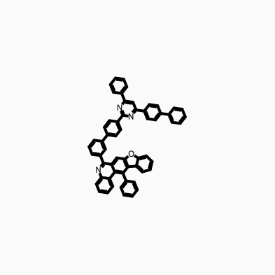 c1ccc(-c2ccc(-c3cc(-c4ccccc4)nc(-c4ccc(-c5cccc(-c6nc7ccccc7c7c(-c8ccccc8)c8c(cc67)oc6ccccc68)c5)cc4)n3)cc2)cc1